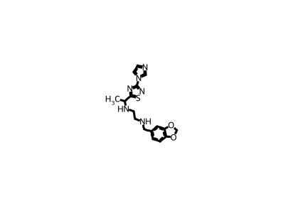 CC(NCCNCc1ccc2c(c1)OCO2)c1nc(-n2ccnc2)ns1